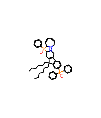 CCCCCCC1(CCCCCC)C2=C(CCC(P(=O)(c3ccccc3)C3C=CC=CCN3)C2)c2ccc(P(=O)(c3ccccc3)c3ccccc3)cc21